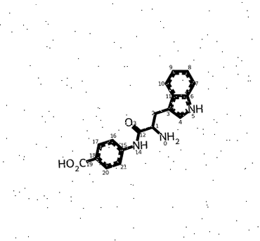 NC(Cc1c[nH]c2ccccc12)C(=O)Nc1ccc(C(=O)O)cc1